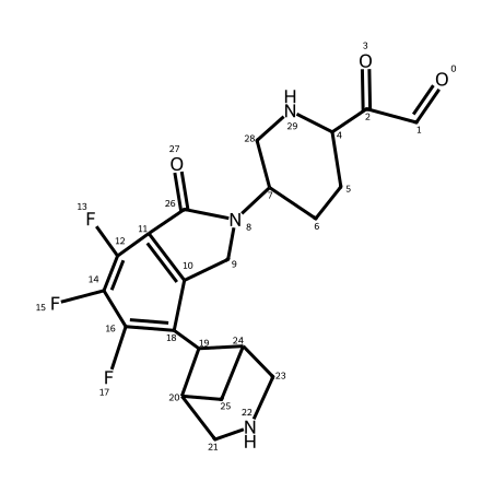 O=CC(=O)C1CCC(N2Cc3c(c(F)c(F)c(F)c3C3C4CNCC3C4)C2=O)CN1